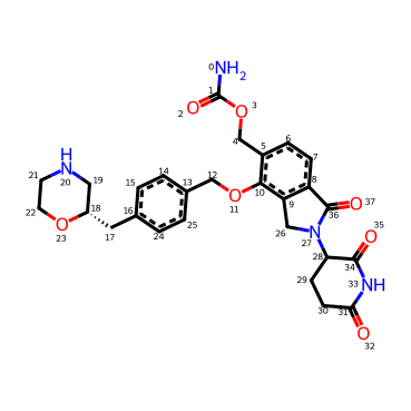 NC(=O)OCc1ccc2c(c1OCc1ccc(C[C@H]3CNCCO3)cc1)CN(C1CCC(=O)NC1=O)C2=O